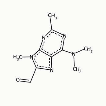 Cc1nc(N(C)C)c2nc(C=O)n(C)c2n1